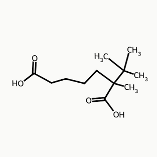 CC(C)(C)C(C)(CCCCC(=O)O)C(=O)O